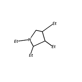 CCC1CN(CC)C(CC)C1CC